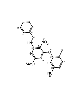 CSc1nc(NCc2ccccc2)c([N+](=O)[O-])c(Oc2cc(C#N)ccc2C)n1